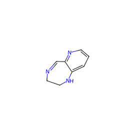 C1=NCCNc2cccnc21